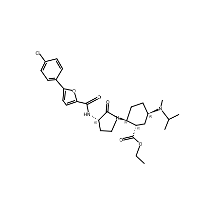 CCOC(=O)[C@H]1C[C@H](N(C)C(C)C)CC[C@@H]1N1CC[C@H](NC(=O)c2ccc(-c3ccc(Cl)cc3)o2)C1=O